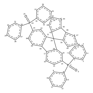 O=P(c1ccccc1)(c1ccccc1)c1ccc2c(c1)C1(c3cc(P(=O)(c4ccccc4)c4ccccc4)ccc3-2)c2ccsc2-c2sccc21